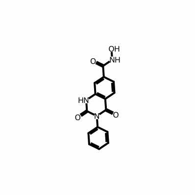 O=C(NO)c1ccc2c(=O)n(-c3ccccc3)c(=O)[nH]c2c1